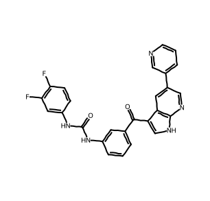 O=C(Nc1cccc(C(=O)c2c[nH]c3ncc(-c4cccnc4)cc23)c1)Nc1ccc(F)c(F)c1